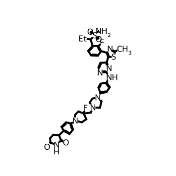 CCC(c1cccc(-c2nc(C)sc2-c2ccnc(Nc3ccc(N4CCN(CC5(F)CCN(c6ccc(C7CCC(=O)NC7=O)cc6)CC5)CC4)cc3)n2)c1F)S(N)(=O)=O